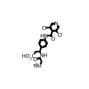 CC(C)(C)CC(=O)NC(CC(=O)O)c1ccc(NC(=O)c2c(Cl)cncc2Cl)cc1